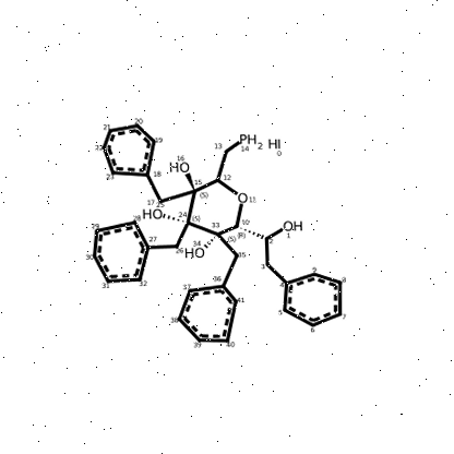 I.OC(Cc1ccccc1)[C@H]1OC(CP)[C@@](O)(Cc2ccccc2)[C@](O)(Cc2ccccc2)[C@]1(O)Cc1ccccc1